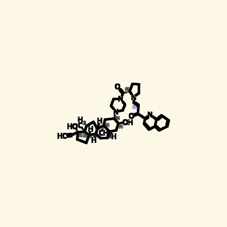 C#C[C@]1(O)CC[C@H]2[C@@H]3CC[C@H]4C[C@H](O)[C@@H](N5CCN(C(=O)[C@@H]6CCCN6/C=C/C(=O)c6ccc7ccccc7n6)CC5)C[C@]4(C)[C@H]3CC[C@@]21C